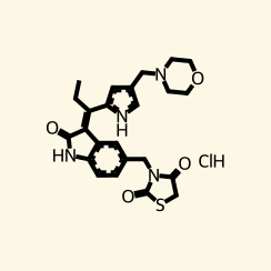 CC/C(=C1\C(=O)Nc2ccc(CN3C(=O)CSC3=O)cc21)c1cc(CN2CCOCC2)c[nH]1.Cl